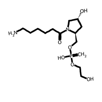 C=P(O)(OCCO)OC[C@@H]1C[C@@H](O)CN1C(=O)CCCCCN